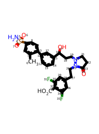 Cc1cc(S(N)(=O)=O)ccc1-c1cccc(C(O)CCN2CCC(=O)N2CCc2cc(F)c(C(=O)O)c(F)c2)c1